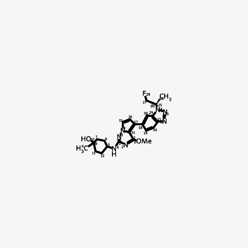 COc1nc(NC2CCC(C)(O)CC2)nn2ccc(-c3ccc4nnn([C@H](C)CF)c4c3)c12